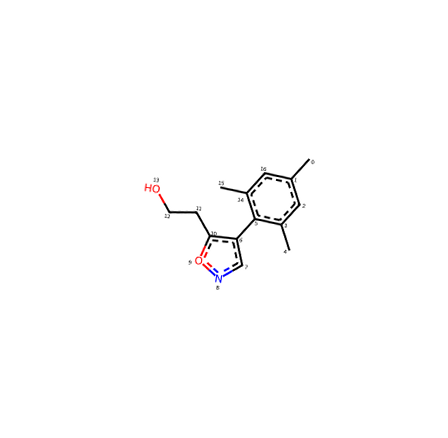 Cc1cc(C)c(-c2cnoc2CCO)c(C)c1